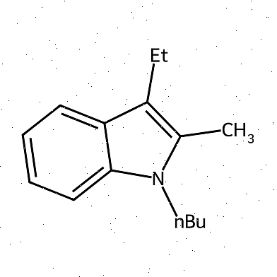 CCCCn1c(C)c(CC)c2ccccc21